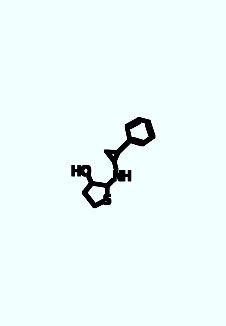 OC1CCSC1NC1CC1c1ccccc1